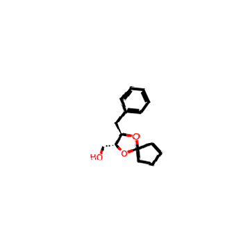 OC[C@H]1OC2(CCCC2)O[C@@H]1Cc1ccccc1